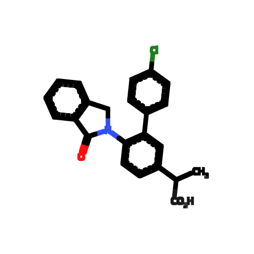 CC(C(=O)O)c1ccc(N2Cc3ccccc3C2=O)c(-c2ccc(Cl)cc2)c1